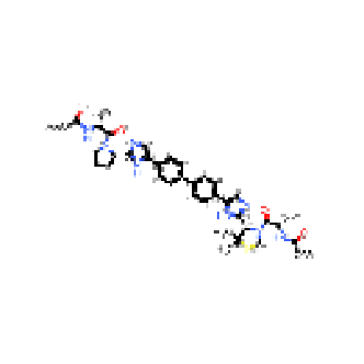 COC(=O)N[C@H](C(=O)N1CCC[C@H]1c1ncc(-c2ccc(-c3ccc(-c4cnc([C@H]5N(C(=O)[C@@H](NC(=O)OC)C(C)C)CSC5(C)C)[nH]4)cc3)cc2)[nH]1)C(C)C